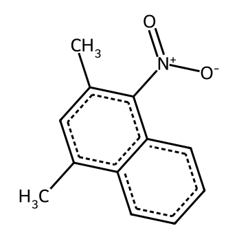 Cc1cc(C)c2ccccc2c1[N+](=O)[O-]